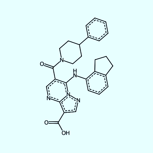 O=C(O)c1cnn2c(Nc3cccc4c3CCC4)c(C(=O)N3CCC(c4ccccc4)CC3)cnc12